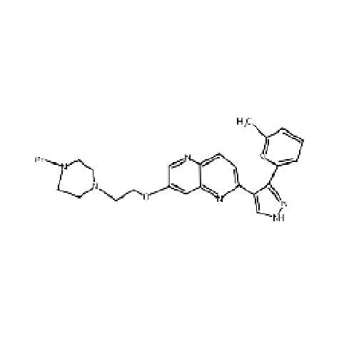 Cc1cccc(-c2n[nH]cc2-c2ccc3ncc(OCCN4CCN(C(C)C)CC4)cc3n2)n1